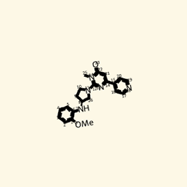 COc1ccccc1N[C@H]1CCN(c2nc(-c3ccncc3)cc(=O)n2C)C1